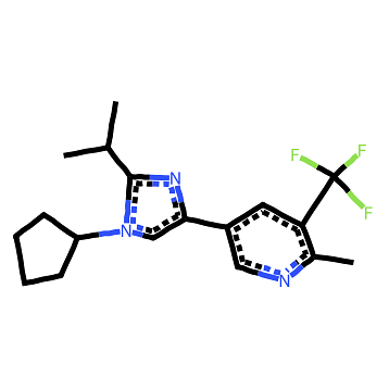 Cc1ncc(-c2cn(C3CCCC3)c(C(C)C)n2)cc1C(F)(F)F